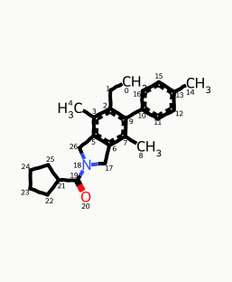 CCc1c(C)c2c(c(C)c1-c1ccc(C)cc1)CN(C(=O)C1CCCC1)C2